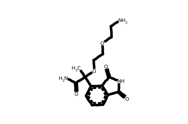 CC(OCCOCCN)(C(N)=O)c1cccc2c1C(=O)NC2=O